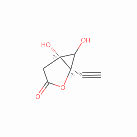 C#C[C@]12OC(=O)C[C@@]1(O)C2O